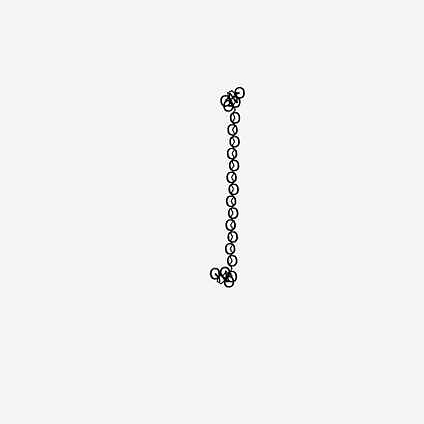 O=C(CCOCCOCCOCCOCCOCCOCCOCCOCCOCCOCCOCCOCCOCCC(=O)ON1C(=O)CCC1=O)ON1C(=O)CCC1=O